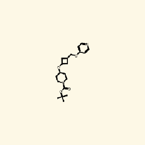 CC(C)(C)OC(=O)N1CCC(OC2CC(COc3ccncc3)C2)CC1